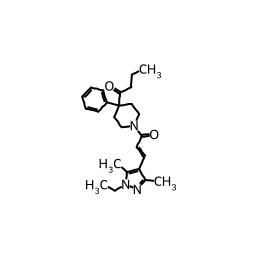 CCCC(=O)C1(c2ccccc2)CCN(C(=O)C=Cc2c(C)nn(CC)c2C)CC1